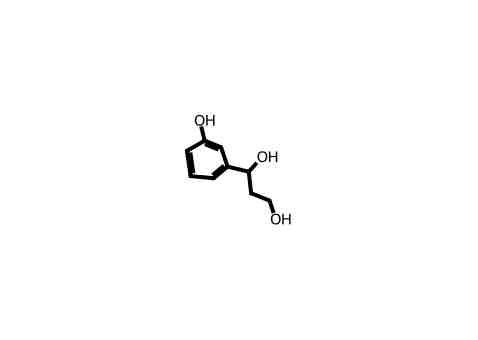 OCCC(O)c1cccc(O)c1